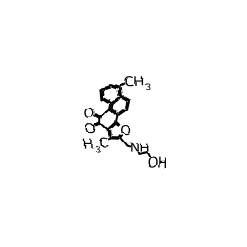 Cc1c(CNCCO)oc2c1C(=O)C(=O)c1c-2ccc2c(C)cccc12